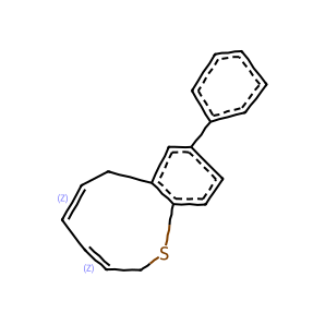 C1=C\CSc2ccc(-c3ccccc3)cc2C\C=C/1